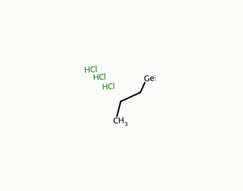 CC[CH2][Ge].Cl.Cl.Cl